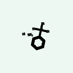 CC[N+](CC)(CC)c1ccccc1.I.N